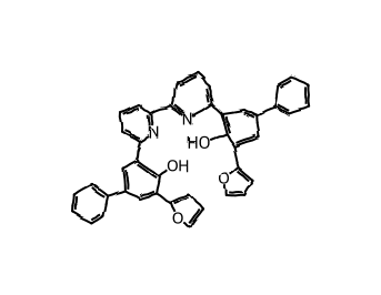 Oc1c(-c2cccc(-c3cccc(-c4cc(-c5ccccc5)cc(-c5ccco5)c4O)n3)n2)cc(-c2ccccc2)cc1-c1ccco1